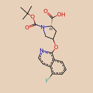 CC(C)(C)OC(=O)N1CC(Oc2nccc3c(F)cccc23)C[C@H]1C(=O)O